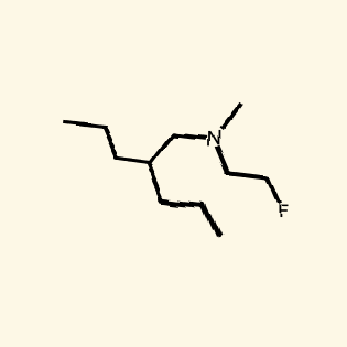 CCCC(CCC)CN(C)CCF